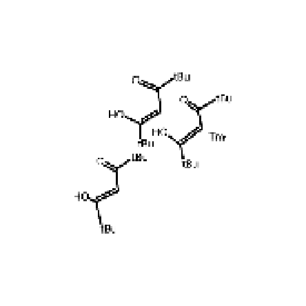 CC(C)(C)C(=O)/C=C(\O)C(C)(C)C.CC(C)(C)C(=O)/C=C(\O)C(C)(C)C.CC(C)(C)C(=O)/C=C(\O)C(C)(C)C.[Tm]